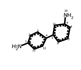 Nc1ccc(-c2cccc(N)c2)cc1